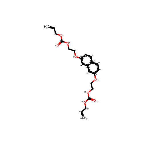 C=CCOC(=O)OCCOc1ccc2ccc(OCCOC(=O)OCC=C)cc2c1